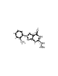 CCCCNc1nc2nn(-c3ccccc3C)cc2c(=O)[nH]1